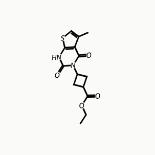 CCOC(=O)C1CC(n2c(=O)[nH]c3scc(C)c3c2=O)C1